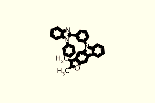 Cc1oc2cc3c4ccccc4n(-c4cccc(-c5nc6ccccc6n5-c5ccccc5)c4)c3cc2c1C